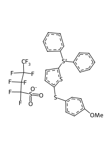 COc1ccc(Sc2ccc([S+](c3ccccc3)c3ccccc3)s2)cc1.O=S(=O)([O-])C(F)(F)C(F)(F)C(F)(F)C(F)(F)F